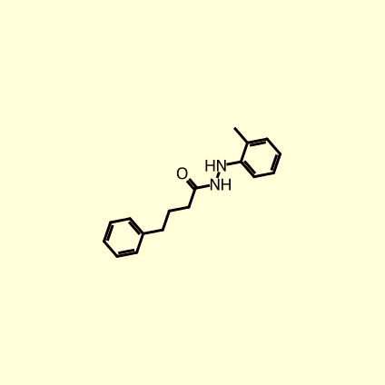 Cc1ccccc1NNC(=O)CCCc1ccccc1